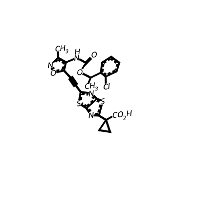 Cc1noc(C#Cc2nc3sc(C4(C(=O)O)CC4)nc3s2)c1NC(=O)OC(C)c1ccccc1Cl